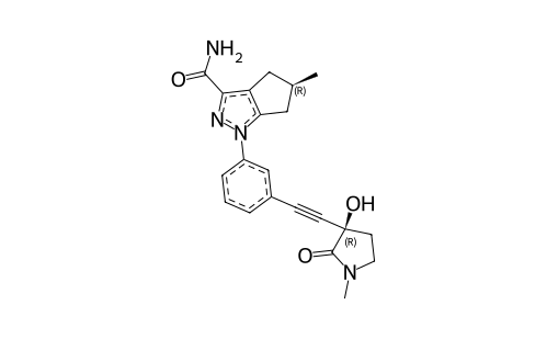 C[C@@H]1Cc2c(C(N)=O)nn(-c3cccc(C#C[C@]4(O)CCN(C)C4=O)c3)c2C1